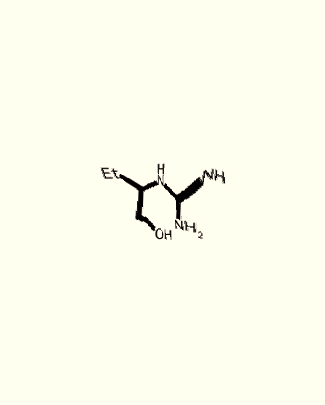 CCC(CO)NC(=N)N